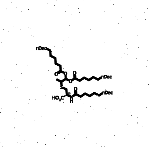 CCCCCCCCCCCCCCCC(=O)N[C@@H](CSC(C)C(OC(=O)CCCCCCCCCCCCCCC)OC(=O)CCCCCCCCCCCCCCC)C(=O)O